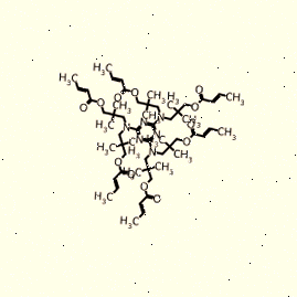 CC=CC(=O)OCC(C)(C)CN(CC(C)(C)COC(=O)C=CC)c1nc(N(CC(C)(C)COC(=O)C=CC)CC(C)(C)COC(=O)C=CC)nc(N(CC(C)(C)COC(=O)C=CC)CC(C)(C)COC(=O)C=CC)n1